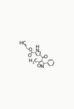 C#CCOC(=O)c1cc(C(=O)c2c(-c3ccccc3)noc2C)c[nH]1